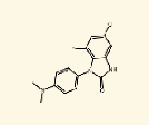 CN(C)c1ccc(-n2c(=O)[nH]c3cc(Cl)cc(F)c32)cc1